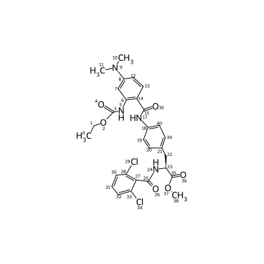 CCOC(=O)Nc1cc(N(C)C)ccc1C(=O)Nc1ccc(C[C@H](NC(=O)c2c(Cl)cccc2Cl)C(=O)OC)cc1